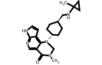 CN1CN([C@H]2CC[C@H](CNC3(C)CC3)CC2)c2c(cnc3[nH]ccc23)C1=O